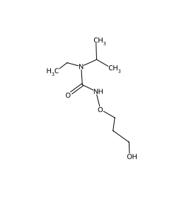 CCN(C(=O)NOCCCO)C(C)C